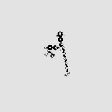 COCCOCCOCCOCCOCCCOc1nn([C@H]2CC[C@H](N3[C@@H]4CC[C@H]3COC4)CC2)cc1Nc1ncc(-c2ccc(Cl)c(O[C@@H](C)Cn3cnnn3)c2)cn1